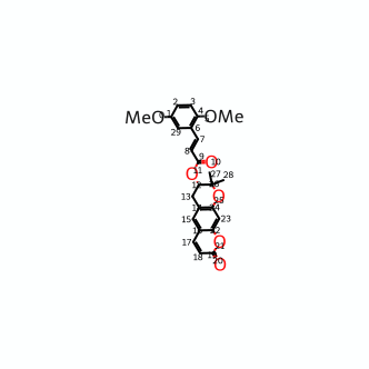 COc1ccc(OC)c(/C=C/C(=O)O[C@H]2Cc3cc4ccc(=O)oc4cc3OC2(C)C)c1